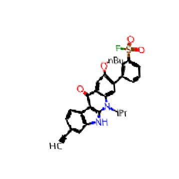 C#Cc1ccc2c(c1)[nH]c1c2c(=O)c2cc(OCCCC)c(-c3cccc(S(=O)(=O)F)c3)cc2n1C(C)C